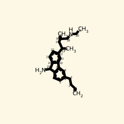 C=CCCc1ccc2c(c1)-c1cc(C(C)CC(=C)CNCC)ccc1C2N